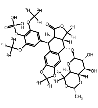 [2H]C([2H])([2H])Oc1cc([C@@H]2c3cc4c(cc3[C@@H](O[C@@H]3O[C@H]5[C@@H](O[C@H](C)OC5([2H])[2H])[C@H](O)[C@H]3O)[C@@H]3[C@@H]2C(=O)OC3([2H])[2H])OC([2H])([2H])O4)cc(OC([2H])([2H])[2H])c1OP(=O)(O)O